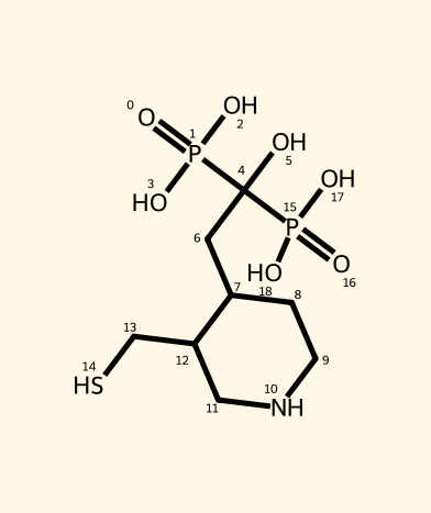 O=P(O)(O)C(O)(CC1CCNCC1CS)P(=O)(O)O